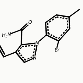 Cc1ccc(-n2ncc(C=O)c2C(N)=O)c(Br)c1